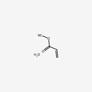 C=CC(=O)OC#N.O